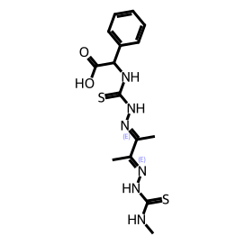 CNC(=S)N/N=C(C)/C(C)=N/NC(=S)NC(C(=O)O)c1ccccc1